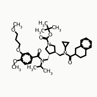 COCCCOc1cc(C(=O)N(C[C@@H]2CN(C(=O)OC(C)(C)C)C[C@H]2CN(C(=O)C2CCc3ccccc3C2)C2CC2)C(C)C)ccc1OC